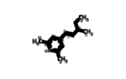 CCC(C)/C=C/c1cc(C)nc(C)c1